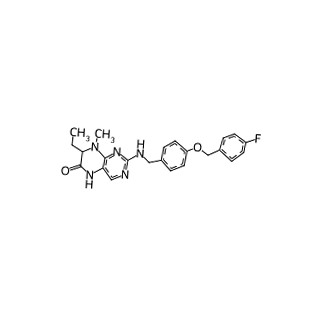 CCC1C(=O)Nc2cnc(NCc3ccc(OCc4ccc(F)cc4)cc3)nc2N1C